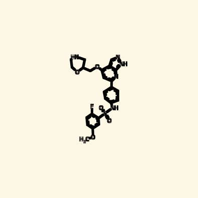 COc1ccc(F)c(S(=O)(=O)Nc2ccc(-c3cc(OCC4CNCCO4)c4cn[nH]c4n3)cc2)c1